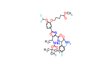 COC(=O)CCCCOc1cc(-c2nc(C(=O)NC(C(N)=O)c3ccc(F)cc3F)c([C@H](C)NC(=O)OC(C)(C)C)o2)ccc1OC(F)F